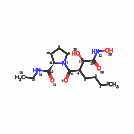 CCCCC(C(=O)N1CCC[C@H]1C(=O)NCC)C(O)C(=O)NO